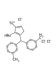 CCCCC1=C(C(c2cccc(C)c2)c2cccc(C)c2)CC=[C]1[Ti+3].[Cl-].[Cl-].[Cl-]